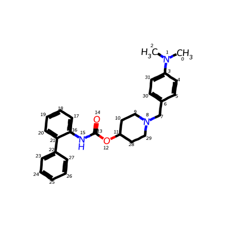 CN(C)c1ccc(CN2CCC(OC(=O)Nc3ccccc3-c3ccccc3)CC2)cc1